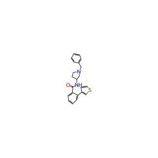 O=C(NC1CCN(Cc2ccccc2)C1)c1ccccc1-c1ccsc1